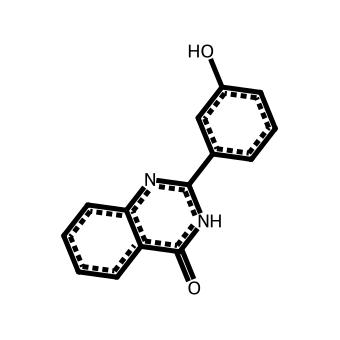 O=c1[nH]c(-c2cccc(O)c2)nc2ccccc12